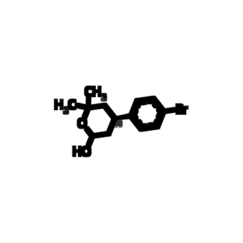 CC1(C)C[C@@H](c2ccc(Br)cc2)CC(O)O1